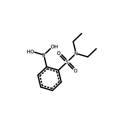 CCN(CC)S(=O)(=O)c1ccccc1B(O)O